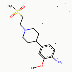 CCOc1cc(C2CCN(CCS(C)(=O)=O)CC2)ccc1N